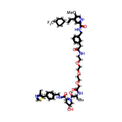 COc1cnc(C(=O)NCc2cccc(CC(=O)NCCOCCOCCOCC(=O)NC(C(=O)N3C[C@H](O)C[C@H]3C(=O)NCc3ccc(-c4scnc4C)cc3)C(C)(C)C)c2)cc1/C=C/[C@H]1CC[C@H](C(F)(F)F)CC1